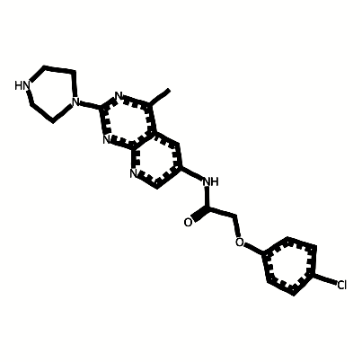 Cc1nc(N2CCNCC2)nc2ncc(NC(=O)COc3ccc(Cl)cc3)cc12